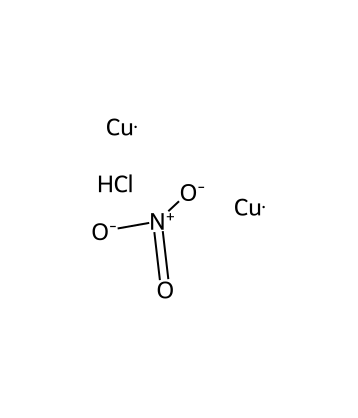 Cl.O=[N+]([O-])[O-].[Cu].[Cu]